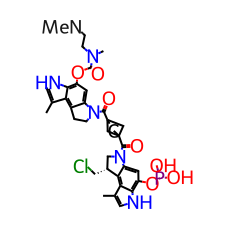 CNCCN(C)C(=O)Oc1cc2c(c3c(C)c[nH]c13)CCN2C(=O)C12CC(C(=O)N3C[C@@H](CCl)c4c3cc(OP(O)O)c3[nH]cc(C)c43)(C1)C2